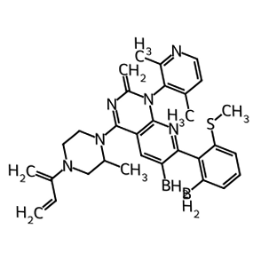 Bc1cc2c(nc1-c1c(B)cccc1SC)N(c1c(C)ccnc1C)C(=C)N=C2N1CCN(C(=C)C=C)CC1C